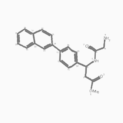 COC(=O)CC(NC(=O)CN)c1ccc(-c2ccc3ccccc3c2)cc1